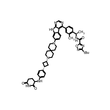 Cc1cc(-c2ncnc3[nH]c4cc(N5CCC6(CC5)CCN([C@H]5C[C@@H](c7ccc(NC8CCC(=O)NC8=O)cc7)C5)CC6)ccc4c23)ccc1[C@@H](C)NC(=O)c1nc(C(C)(C)C)no1